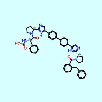 O=C(O)N[C@@H](C(=O)N1CCC[C@H]1c1ncc(-c2ccc(-c3ccc(-c4cnc([C@@H]5CCCN5C(=O)c5ccccc5Cc5ccccc5)[nH]4)cc3)cc2)[nH]1)c1ccccc1